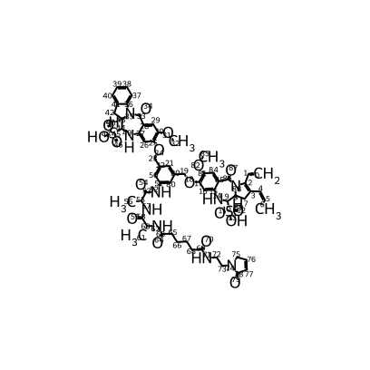 C=CC1=C(/C=C\C)C[C@H]2C(S(=O)(=O)O)Nc3cc(OCc4cc(COc5cc6c(cc5OC)C(=O)N5c7ccccc7C[C@H]5C(S(=O)(=O)O)N6)cc(NC(=O)[C@H](C)NC(=O)[C@H](C)NC(=O)CCCCC(=O)NCCN5CC=CC5=O)c4)c(OC)cc3C(=O)N12